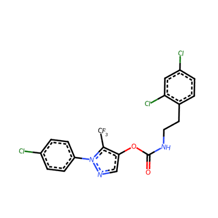 O=C(NCCc1ccc(Cl)cc1Cl)Oc1cnn(-c2ccc(Cl)cc2)c1C(F)(F)F